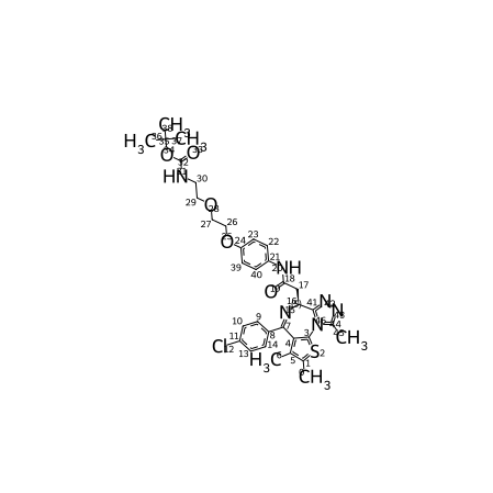 Cc1sc2c(c1C)C(c1ccc(Cl)cc1)=N[C@@H](CC(=O)Nc1ccc(OCCOCCNC(=O)OC(C)(C)C)cc1)c1nnc(C)n1-2